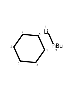 C1CCCCC1.[Li][CH2]CCC